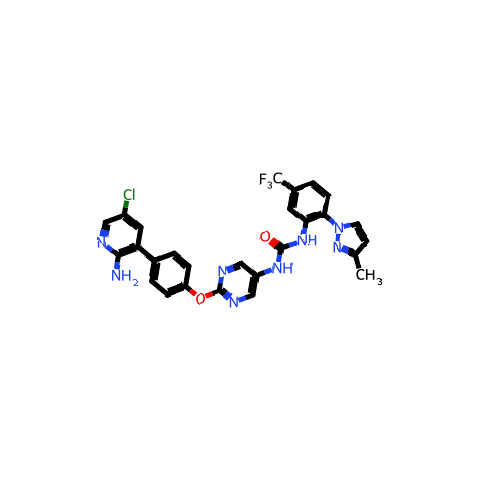 Cc1ccn(-c2ccc(C(F)(F)F)cc2NC(=O)Nc2cnc(Oc3ccc(-c4cc(Cl)cnc4N)cc3)nc2)n1